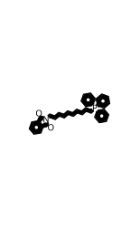 O=C1c2ccccc2C(=O)N1CCCCCCCCCC[PH](c1ccccc1)(c1ccccc1)c1ccccc1